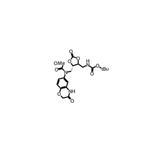 COC(=O)N(C[C@@H]1OC(=O)OC1CNC(=O)OC(C)(C)C)c1ccc2c(c1)NC(=O)CO2